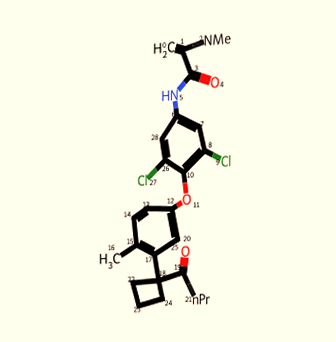 C=C(NC)C(=O)Nc1cc(Cl)c(Oc2ccc(C)c(C3(C(=O)CCC)CCC3)c2)c(Cl)c1